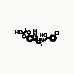 C[C@H](Cc1c[nH]c2c(O[C@@H](C)C(=O)O)cccc12)NC[C@H](O)c1cccc(Cl)c1